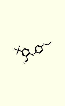 CCOc1ccc(Oc2ccc(C(F)(F)F)cc2C=O)cc1